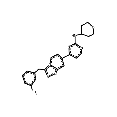 Cc1cccc(Cc2nnc3cc(-c4ccnc(NC5CCOCC5)n4)ccn23)c1